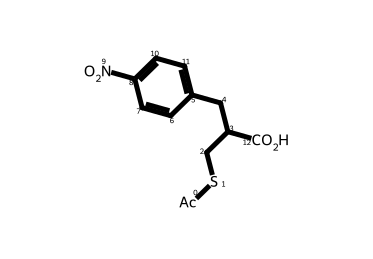 CC(=O)SCC(Cc1ccc([N+](=O)[O-])cc1)C(=O)O